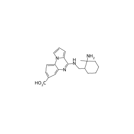 CC1(N)CCCCC1CNc1nc2cc(C(=O)O)ccc2n2cccc12